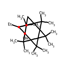 CCC1C(O)C12CC21C(C)(C)C12C(C)(C)C21C(C)(C)C12C(C)(C)C21CC1(C)C